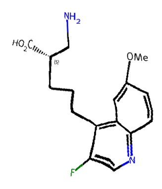 COc1ccc2ncc(F)c(CCC[C@@H](CN)C(=O)O)c2c1